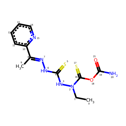 CCN(NC(=S)NN=C(C)c1ccccn1)C(=S)OC(N)=O